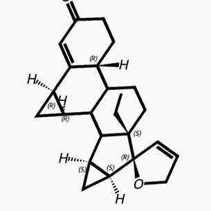 CC[C@]12CCC3C(C1[C@@H]1C[C@@H]1[C@@]21C=CCO1)[C@H]1C[C@H]1C1=CC(=O)CC[C@@H]13